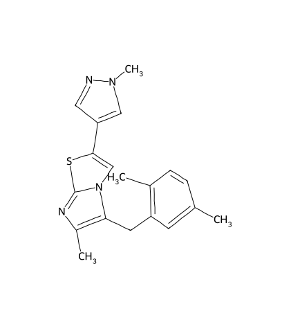 Cc1ccc(C)c(Cc2c(C)nc3sc(-c4cnn(C)c4)cn23)c1